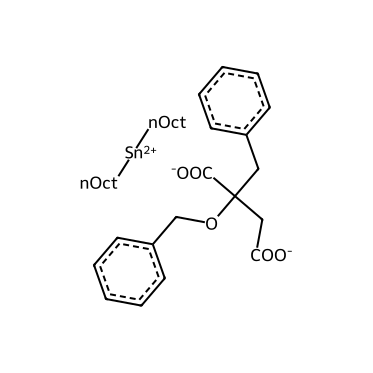 CCCCCCC[CH2][Sn+2][CH2]CCCCCCC.O=C([O-])CC(Cc1ccccc1)(OCc1ccccc1)C(=O)[O-]